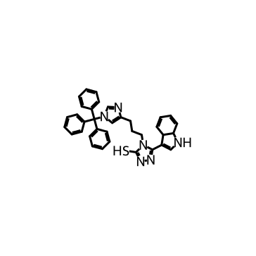 Sc1nnc(C2=CNC3C=CC=CC23)n1CCCc1cn(C(c2ccccc2)(c2ccccc2)c2ccccc2)cn1